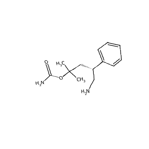 CC(C)(C[C@@H](CN)c1ccccc1)OC(N)=O